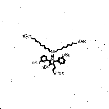 CCCCCCC=CC1=C(c2cccc(CCCC)c2)[N+](=[N-])C(c2cccc(CCCC)c2)=C1CCCC.CCCCCCCCCCCCCCCCCC[CH2][Ni][CH2]CCCCCCCCCCCCCCCCCC